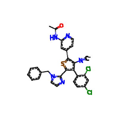 [C-]#[N+]c1c(-c2ccnc(NC(C)=O)c2)sc(-c2nccn2Cc2ccccc2)c1-c1ccc(Cl)cc1Cl